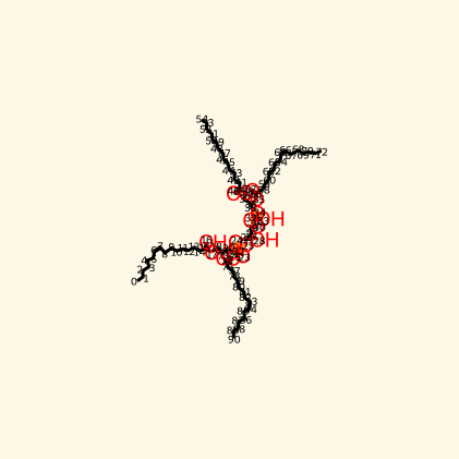 CCCCCC/C=C\CCCCCCCC(=O)OCC(COP(=O)(O)OCC(O)COP(=O)(O)OCC(COC(=O)CCCCCCCCCCCCCC)OC(=O)CCCCCCC/C=C\CCCCCC)OC(=O)CCCCCCC/C=C\CCCCCC